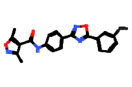 COc1cccc(-c2nc(-c3ccc(NC(=O)c4c(C)noc4C)cc3)no2)c1